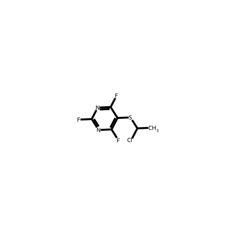 CC(Cl)Sc1c(F)nc(F)nc1F